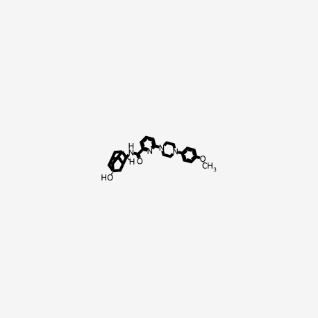 COc1ccc(N2CCN(c3cccc(C(=O)N[C@H]4C5CC6CC4C[C@](O)(C6)C5)n3)CC2)cc1